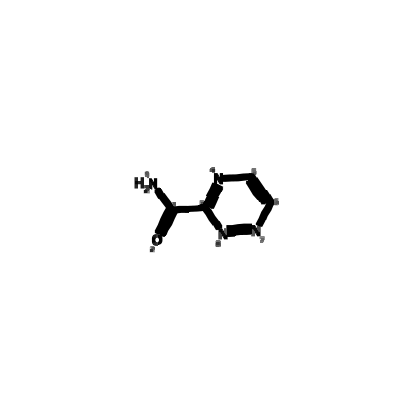 NC(=O)c1nccnn1